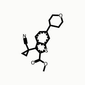 COC(=O)c1sc2cc(C3CCOCC3)ccc2c1C1(C#N)CC1